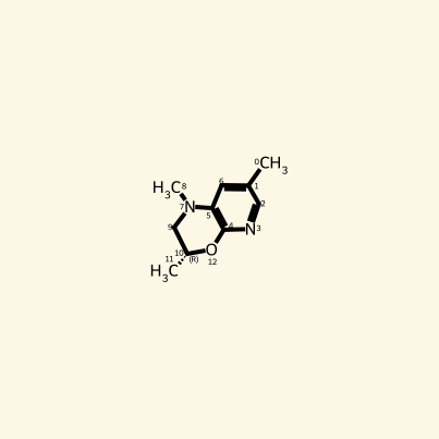 Cc1cnc2c(c1)N(C)C[C@@H](C)O2